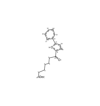 CCCCCCCCCCCCCCCC(=O)c1ncc(-c2ccccn2)o1